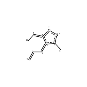 C=C/C=c1/c(C)no/c1=C/C